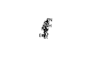 CCN(CC)C(=O)Cn1ccc2c(Nc3ncc(C#N)s3)ncnc21